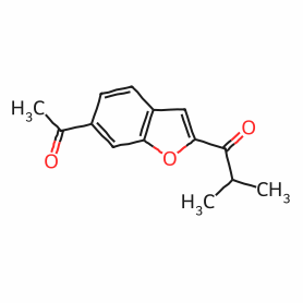 CC(=O)c1ccc2cc(C(=O)C(C)C)oc2c1